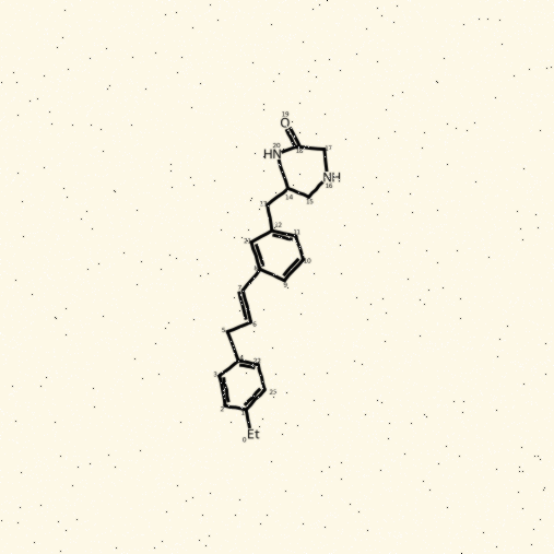 CCc1ccc(CC=Cc2cccc(CC3CNCC(=O)N3)c2)cc1